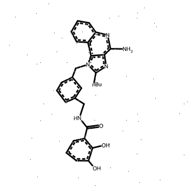 CCCCc1nc2c(N)nc3ccccc3c2n1Cc1cccc(CNC(=O)c2cccc(O)c2O)c1